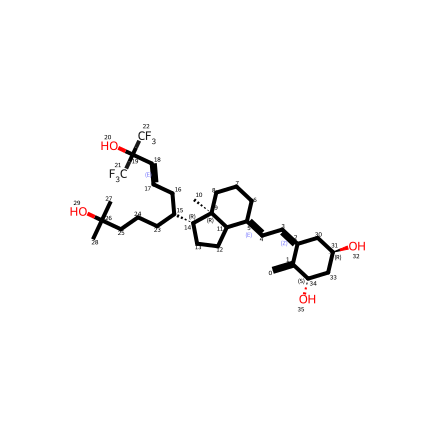 C=C1/C(=C\C=C2/CCC[C@@]3(C)C2CC[C@@H]3C(C/C=C/C(O)(C(F)(F)F)C(F)(F)F)CCCC(C)(C)O)C[C@@H](O)C[C@@H]1O